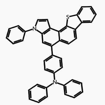 c1ccc(N(c2ccccc2)c2ccc(-c3cc4c(ccn4-c4ccccc4)c4c3ccc3c5ccccc5sc34)cc2)cc1